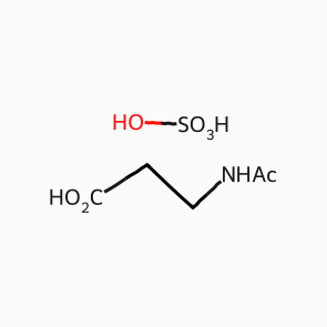 CC(=O)NCCC(=O)O.O=S(=O)(O)O